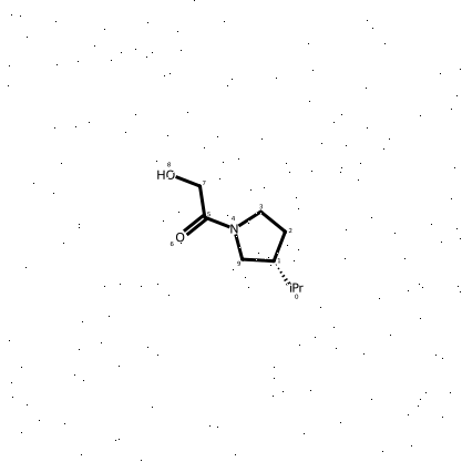 CC(C)[C@H]1CCN(C(=O)CO)C1